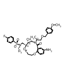 COc1ccc(COC[C@H](C)N2C[C@@H](C)[C@H](CN(C)S(=O)(=O)c3ccc(F)cc3)OCCCOc3ccc(N)cc3C2=O)cc1